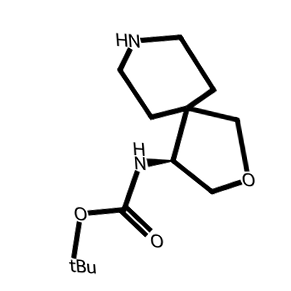 CC(C)(C)OC(=O)N[C@@H]1COCC12CCNCC2